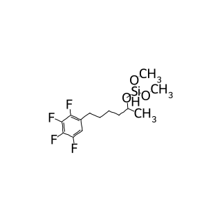 CO[SiH](OC)OC(C)CCCCc1cc(F)c(F)c(F)c1F